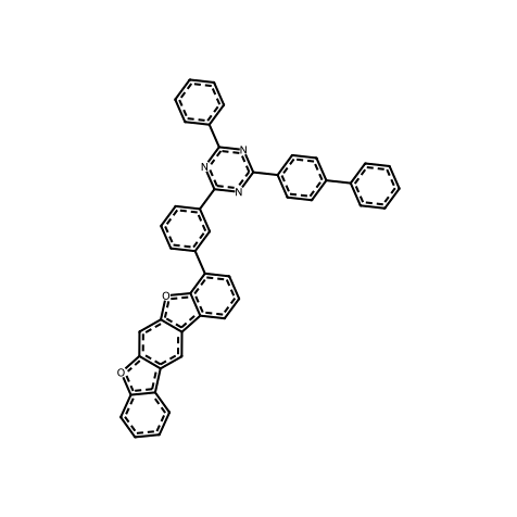 c1ccc(-c2ccc(-c3nc(-c4ccccc4)nc(-c4cccc(-c5cccc6c5oc5cc7oc8ccccc8c7cc56)c4)n3)cc2)cc1